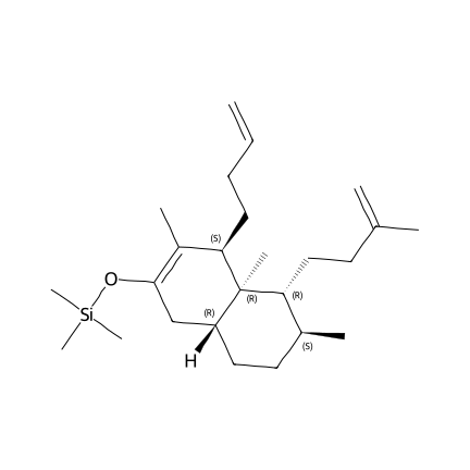 C=CCC[C@@H]1C(C)=C(O[Si](C)(C)C)C[C@H]2CC[C@H](C)[C@@H](CCC(=C)C)[C@@]21C